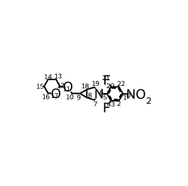 O=[N+]([O-])c1cc(F)c(N2CC3C(COC4CCCCO4)C3C2)c(F)c1